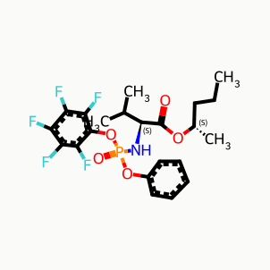 CCC[C@H](C)OC(=O)[C@@H](NP(=O)(Oc1ccccc1)Oc1c(F)c(F)c(F)c(F)c1F)C(C)C